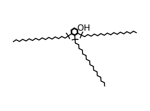 CCCCCCCCCCCCCCCCCC(C)(C)c1ccc(O)c(C(C)(C)CCCCCCCCCCCCCCCCC)c1C(C)(C)CCCCCCCCCCCCCCCCC